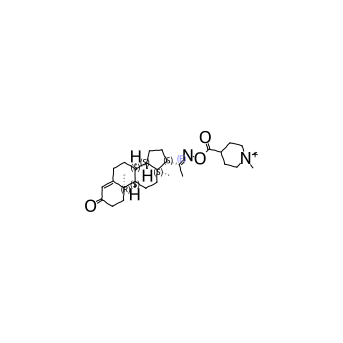 C/C(=N\OC(=O)C1CC[N+](C)(C)CC1)[C@H]1CC[C@H]2[C@@H]3CCC4=CC(=O)CC[C@]4(C)[C@H]3CC[C@]12C